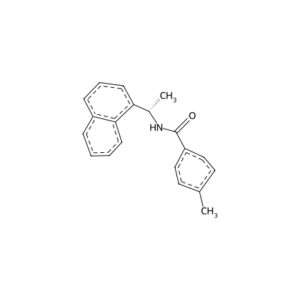 Cc1ccc(C(=O)N[C@@H](C)c2cccc3ccccc23)cc1